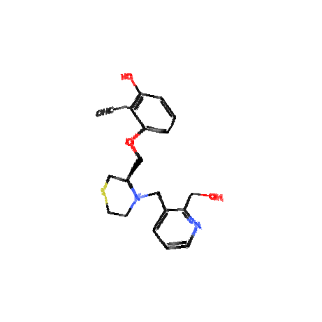 O=Cc1c(O)cccc1OC[C@@H]1CSCCN1Cc1cccnc1CO